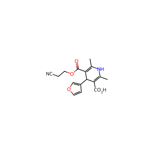 CC1=C(C(=O)O)C(c2ccoc2)C(C(=O)OCCC#N)=C(C)N1